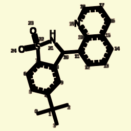 CC(C)(C)c1ccc2c(c1)C(c1cccc3cccnc13)NS2(=O)=O